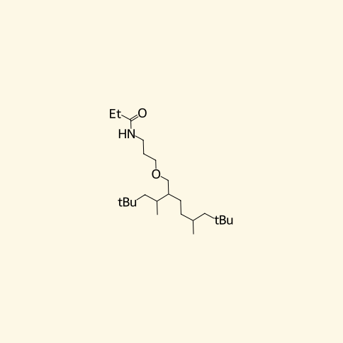 CCC(=O)NCCCOCC(CCC(C)CC(C)(C)C)C(C)CC(C)(C)C